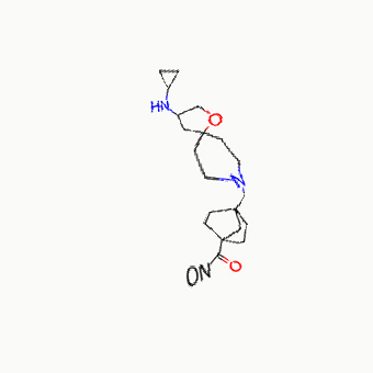 O=NC(=O)C12CCC(CN3CCC4(CC3)CC(NC3CC3)CO4)(CC1)C2